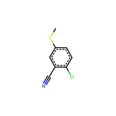 CSc1ccc(Cl)c(C#N)c1